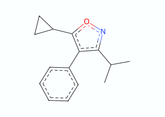 CC(C)c1noc(C2CC2)c1-c1ccccc1